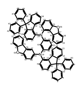 c1ccc(C2(c3ccccc3)c3ccccc3-c3c(N(c4cccc(N(c5cccc6c5-c5ccccc5C6(c5ccccc5)c5ccccc5)c5cccc6oc7ccccc7c56)c4)c4ccc5oc6ccccc6c5c4)cccc32)cc1